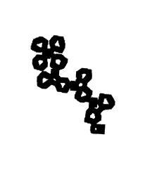 N#Cc1ccc2c(c1)c1ccccc1n2-c1ccc2c(c1)c1ccccc1n2-c1ccc2c3ccccc3n(-c3cccc([Si](c4ccccc4)(c4ccccc4)c4ccccc4)c3)c2c1